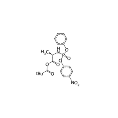 C[C@@H](NP(=O)(Oc1ccccc1)Oc1ccc([N+](=O)[O-])cc1)C(=O)OC(=O)C(C)(C)C